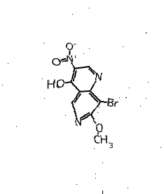 COc1ncc2c(O)c([N+](=O)[O-])cnc2c1Br